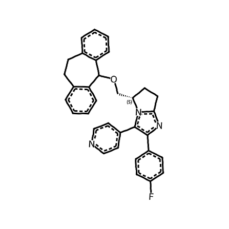 Fc1ccc(-c2nc3n(c2-c2ccncc2)[C@H](COC2c4ccccc4CCc4ccccc42)CC3)cc1